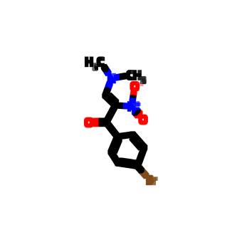 CN(C)C=C(C(=O)c1ccc(Br)cc1)[N+](=O)[O-]